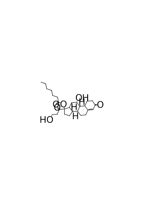 CCCCCCC(=O)O[C@]1(C(=O)CCO)CC[C@H]2[C@@H]3CCC4=CC(=O)CC[C@]4(C)[C@H]3[C@@H](O)C[C@@]21C